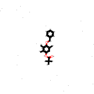 Cc1cc(OC(=O)C(C)(C)C)c(C)c(C)c1OCc1ccccc1